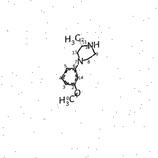 COc1cccc(N2CCN[C@@H](C)C2)c1